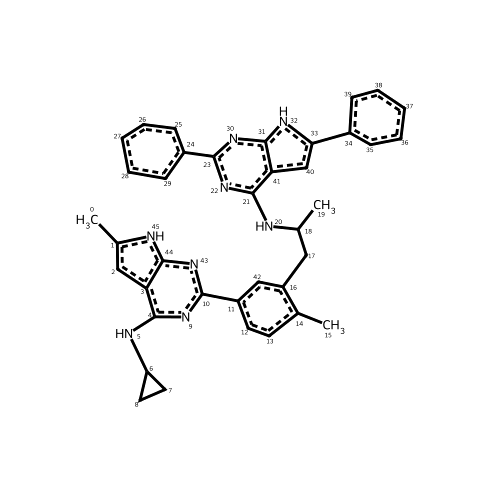 Cc1cc2c(NC3CC3)nc(-c3ccc(C)c(CC(C)Nc4nc(-c5ccccc5)nc5[nH]c(-c6ccccc6)cc45)c3)nc2[nH]1